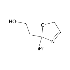 CC(C)C1(CCO)N=CCO1